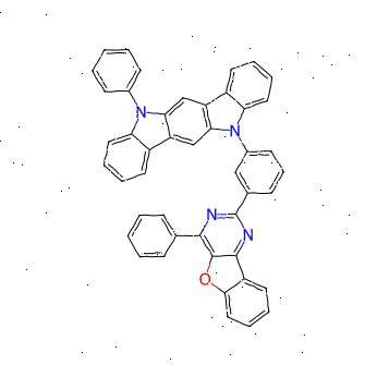 c1ccc(-c2nc(-c3cccc(-n4c5ccccc5c5cc6c(cc54)c4ccccc4n6-c4ccccc4)c3)nc3c2oc2ccccc23)cc1